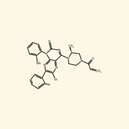 C=CC(=O)N1CCN(c2nc(=O)n(-c3ccccc3CCC)c3nc(-c4ccccc4F)c(CC)nc23)[C@@H](C)C1